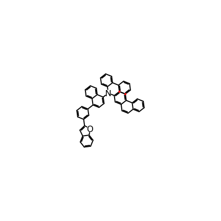 c1ccc(-c2ccccc2N(c2ccc3c(ccc4ccccc43)c2)c2ccc(-c3cccc(-c4cc5ccccc5o4)c3)c3ccccc23)cc1